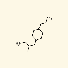 CC(CN)CN1CCN(CCN)CC1